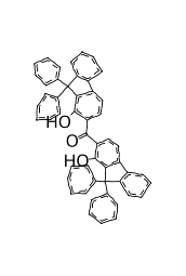 O=C(c1ccc2c(c1O)C(c1ccccc1)(c1ccccc1)c1ccccc1-2)c1ccc2c(c1O)C(c1ccccc1)(c1ccccc1)c1ccccc1-2